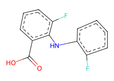 O=C(O)c1cccc(F)c1Nc1ccccc1F